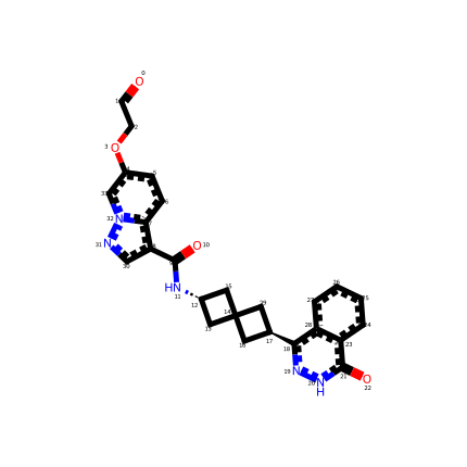 O=CCOc1ccc2c(C(=O)N[C@H]3CC4(C3)C[C@H](c3n[nH]c(=O)c5ccccc53)C4)cnn2c1